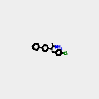 C[C@@H](N)[C@H](Cc1ccc(Cl)cc1)c1ccc(-c2ccccc2)cc1